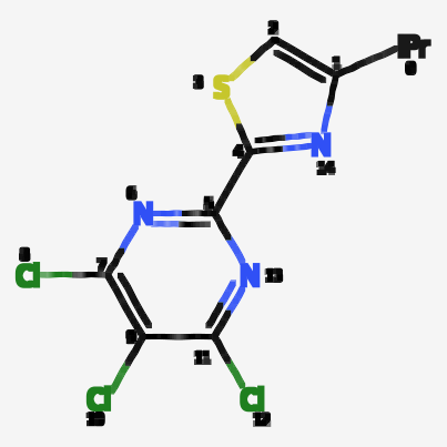 CC(C)c1csc(-c2nc(Cl)c(Cl)c(Cl)n2)n1